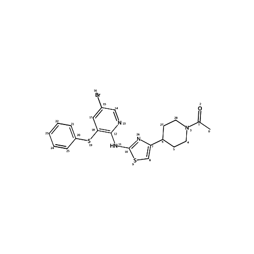 CC(=O)N1CCC(c2csc(Nc3ncc(Br)cc3Sc3ccccc3)n2)CC1